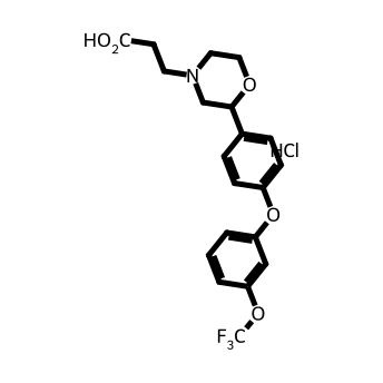 Cl.O=C(O)CCN1CCOC(c2ccc(Oc3cccc(OC(F)(F)F)c3)cc2)C1